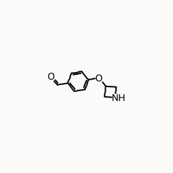 O=Cc1ccc(OC2CNC2)cc1